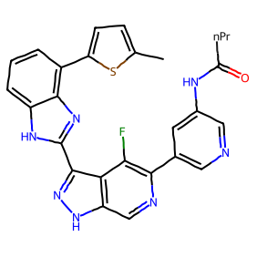 CCCC(=O)Nc1cncc(-c2ncc3[nH]nc(-c4nc5c(-c6ccc(C)s6)cccc5[nH]4)c3c2F)c1